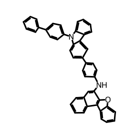 c1ccc(-c2ccc(-n3c4ccccc4c4cc(-c5ccc(Nc6cc7ccccc7c7c6oc6ccccc67)cc5)ccc43)cc2)cc1